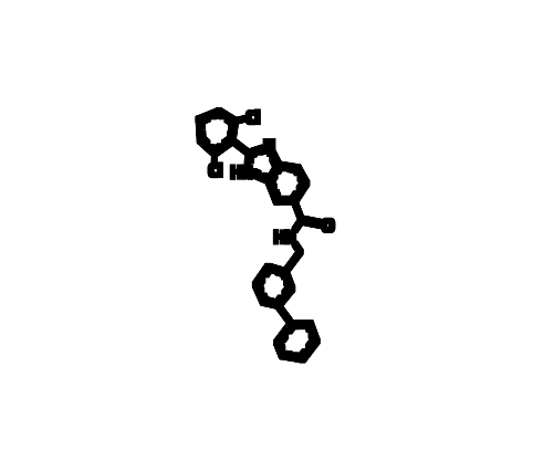 O=C(NCc1cccc(-c2ccccc2)c1)c1ccc2nc(-c3c(Cl)cccc3Cl)[nH]c2c1